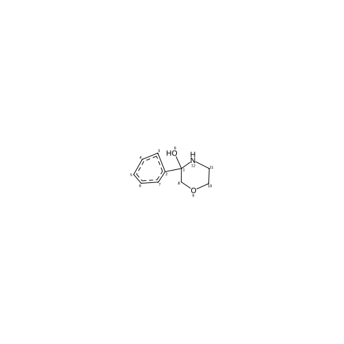 OC1(c2ccccc2)COCCN1